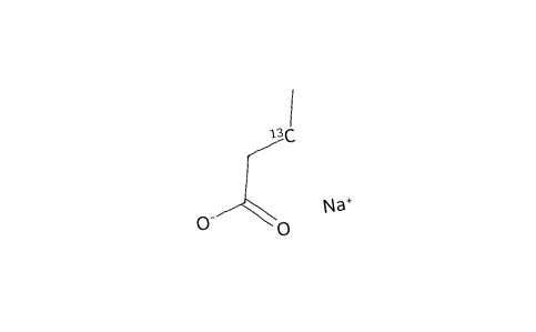 C[13CH2]CC(=O)[O-].[Na+]